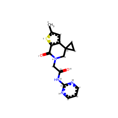 Cc1cc2c(s1)C(=O)N(CC(=O)Nc1ncccn1)CC21CC1